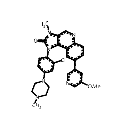 COc1cncc(-c2ccc3ncc4c(c3c2)n(-c2ccc(N3CCN(C)CC3)cc2Cl)c(=O)n4C)c1